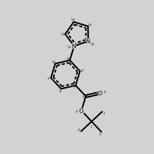 CC(C)(C)OC(=O)c1cccc(-n2cccn2)c1